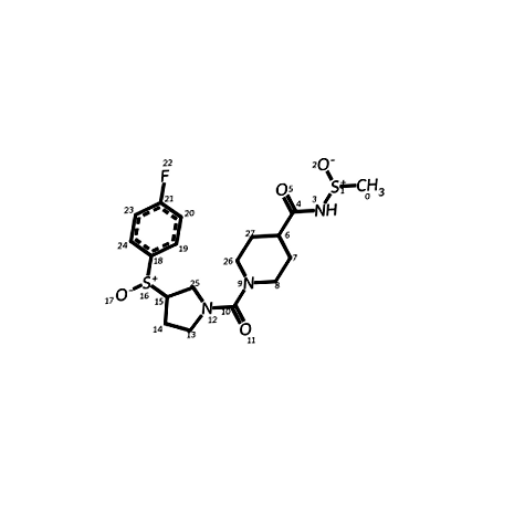 C[S+]([O-])NC(=O)C1CCN(C(=O)N2CCC([S+]([O-])c3ccc(F)cc3)C2)CC1